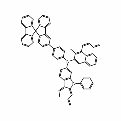 C=C/C=C\c1c(C)c(N(c2ccc(-c3ccc4c(c3)-c3ccccc3C43c4ccccc4-c4ccccc43)cc2)c2ccc3c(=C/C)/c(=C\C=C)n(-c4ccccc4)c3c2)cc2ccccc12